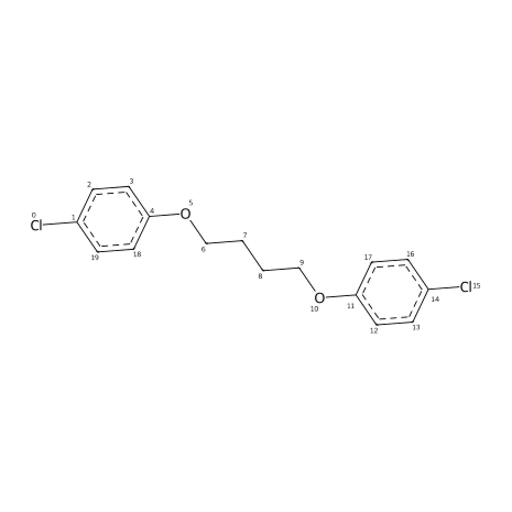 Clc1ccc(OCCCCOc2ccc(Cl)cc2)cc1